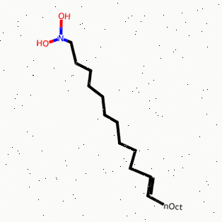 CCCCCCCCC=CCCCCCCCCCCN(O)O